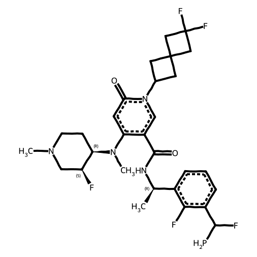 C[C@@H](NC(=O)c1cn(C2CC3(C2)CC(F)(F)C3)c(=O)cc1N(C)[C@@H]1CCN(C)C[C@@H]1F)c1cccc(C(F)P)c1F